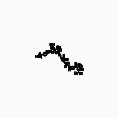 CCC(CC)C1CC(N[C@H]2CCC(NCC(=O)NCC3CN(CCOCC(=O)N[C@H](C(=O)N4C[C@H](O)C[C@H]4C(=O)NCc4ccc(C5SCNC5C)cc4)C(C)(C)C)NN3)C2)N2NCCC2N1